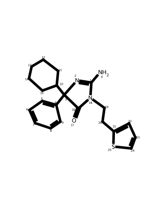 NC1=NC(c2ccccc2)(C2CCCCC2)C(=O)N1CCc1cccs1